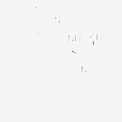 C[C@H]1CCCN(Cc2ccccc2F)[C@H]1CNc1nc2ccccc2o1